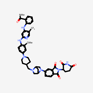 CNC(=O)c1ccccc1Nc1cc(Nc2ccc(N3CCC(CN4CC5CC4CN5c4ccc5c(c4)C(=O)N(C4CCC(=O)NC4=O)C5=O)CC3)cc2OC)ncc1C(F)(F)F